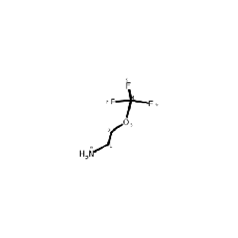 NCCOC(F)(F)F